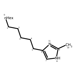 CCCCCCCCCCCc1c[nH]c(C)n1